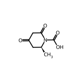 C[C@H]1CC(=O)CC(=O)N1C(=O)O